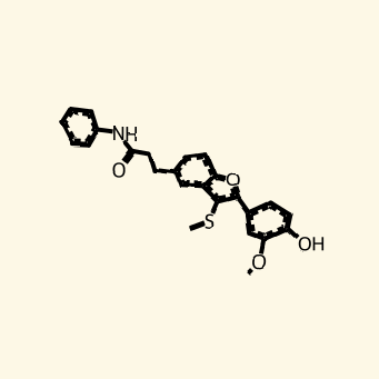 COc1cc(-c2oc3ccc(CCC(=O)Nc4ccccc4)cc3c2SC)ccc1O